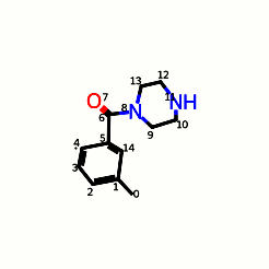 Cc1cc[c]c(C(=O)N2CCNCC2)c1